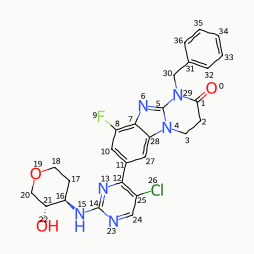 O=C1CCn2c(nc3c(F)cc(-c4nc(N[C@@H]5CCOC[C@H]5O)ncc4Cl)cc32)N1Cc1ccccc1